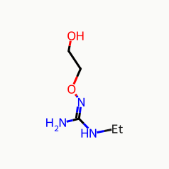 CCNC(N)=NOCCO